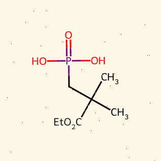 CCOC(=O)C(C)(C)CP(=O)(O)O